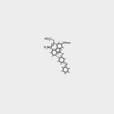 CCCCCc1cc(OCC(=O)O)c2c3c(C(N)=O)cccc3n(Cc3cccc(Oc4ccccc4)c3)c2c1